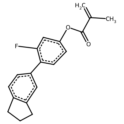 C=C(C)C(=O)Oc1ccc(-c2ccc3c(c2)CCC3)c(F)c1